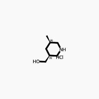 C[C@H]1CNC[C@@H](CO)C1.Cl